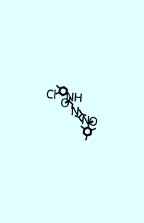 Cc1cc(C)c(C(=O)N2CC3CN(CCC(=O)Nc4ccc(C)c(Cl)c4)CC3C2)c(C)c1